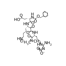 CN(C)C(=O)[C@H](CCCN/C(N)=N\[N+](=O)[O-])NC(=O)C(=O)[C@H](CCCCNCl)NC(=O)[C@H](CCC(=O)O)NC(=O)OCc1ccccc1